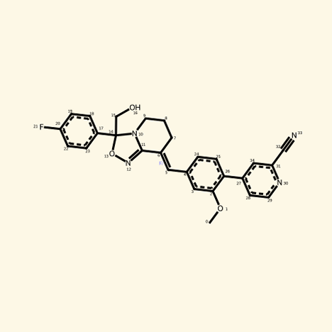 COc1cc(/C=C2\CCCN3C2=NOC3(CO)c2ccc(F)cc2)ccc1-c1ccnc(C#N)c1